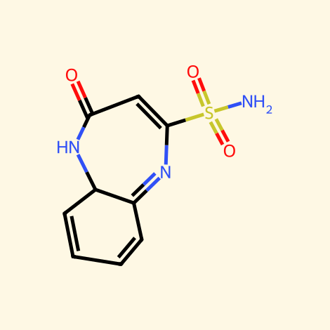 NS(=O)(=O)C1=CC(=O)NC2C=CC=CC2=N1